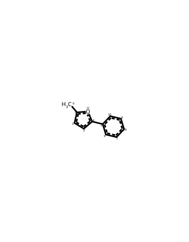 Cc1ccc(-c2cc[c]cc2)o1